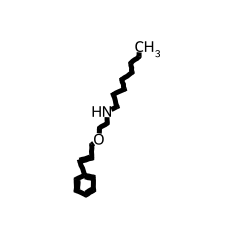 CCCCCCCCNCCOCC=Cc1ccccc1